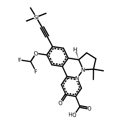 CC1(C)CC[C@@H]2c3cc(C#C[Si](C)(C)C)c(OC(F)F)cc3-c3cc(=O)c(C(=O)O)cn3N21